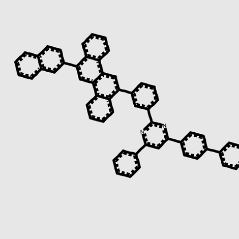 c1ccc(-c2cc(-c3ccc(-c4cccnc4)cc3)nc(-c3cccc(-c4cc5c6ccccc6c(-c6ccc7ccccc7c6)cc5c5ccccc45)c3)n2)cc1